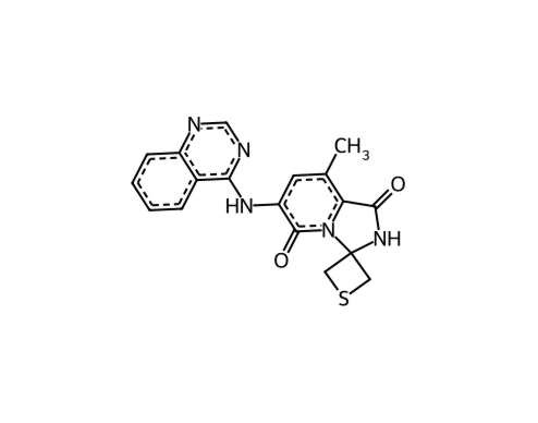 Cc1cc(Nc2ncnc3ccccc23)c(=O)n2c1C(=O)NC21CSC1